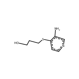 Nc1cnccc1SCCCO